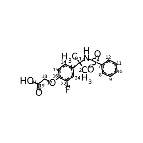 CC(C)(NS(=O)(=O)c1ccccc1)c1ccc(OCC(=O)O)c(F)c1